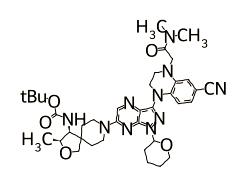 C[C@@H]1OCC2(CCN(c3cnc4c(N5CCN(CC(=O)N(C)C)c6cc(C#N)ccc65)nn(C5CCCCO5)c4n3)CC2)[C@@H]1NC(=O)OC(C)(C)C